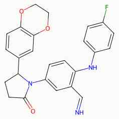 N=Cc1cc(N2C(=O)CCC2c2ccc3c(c2)OCCO3)ccc1Nc1ccc(F)cc1